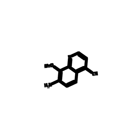 COc1c(N)ccc2c(C#N)ccnc12